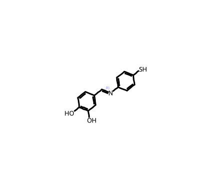 Oc1ccc(/C=N/c2ccc(S)cc2)cc1O